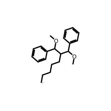 [CH2]CCCC[C](C(OC)c1ccccc1)C(OC)c1ccccc1